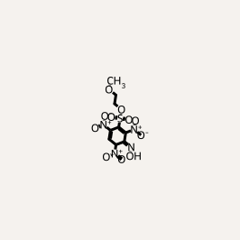 COCCOS(=O)(=O)C1=C([N+](=O)[O-])C(=NO)C([N+](=O)[O-])C=C1[N+](=O)[O-]